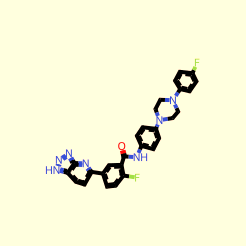 O=C(Nc1ccc(N2CCN(c3ccc(F)cc3)CC2)cc1)c1cc(-c2ccc3[nH]nnc3n2)ccc1F